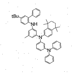 Cc1cc(Nc2ccc(C(C)(C)C)cc2-c2ccccc2)cc(N(c2cccc(N(c3ccccc3)c3ccccc3)c2)c2ccc3c(c2)C(C)(C)CCC3(C)C)c1